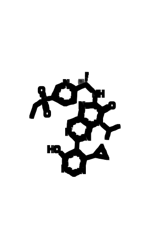 CCS(=O)(=O)c1ccc([C@H](C)Nc2nc3cnc(-c4c(O)ncnc4C4CC4)nc3n(C(C)C)c2=O)nc1